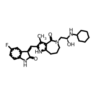 Cc1c(/C=C2\C(=O)Nc3ccc(F)cc32)[nH]c2c1C(=O)N(C[C@H](O)NC1CCCCC1)CCC2